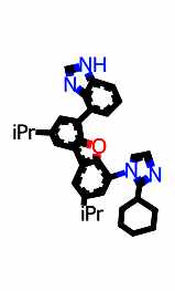 CC(C)c1cc(-c2cccc3[nH]cnc23)c2oc3c(-n4ccnc4C4CCCCC4)cc(C(C)C)cc3c2c1